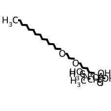 CCCCCCCCCCCCCCOCCCOCC(O)CC(COP(=O)(O)O)[N+](C)(C)C